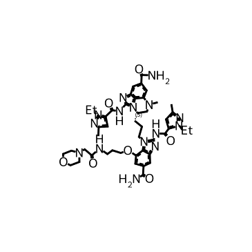 CCn1nc(C)cc1C(=O)Nc1nc2cc(C(N)=O)cc(OCCCNC(=O)CN3CCOCC3)c2n1CCC[C@H]1CN(C)c2cc(C(N)=O)cc3nc(NC(=O)c4cc(C)nn4CC)n1c23